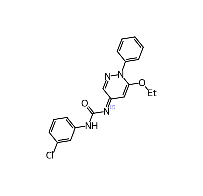 CCOc1c/c(=N/C(=O)Nc2cccc(Cl)c2)cnn1-c1ccccc1